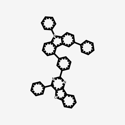 c1ccc(-c2ccc3c(c2)c2c(-c4cccc(-c5nc(-c6ccccc6)c6oc7ccccc7c6n5)c4)cccc2n3-c2ccccc2)cc1